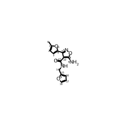 Cc1ccc(-c2noc(N)c2C(=O)NCc2ccco2)o1